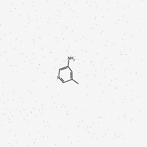 Cc1[c]ncc(N)c1